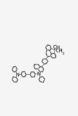 CC1(C)c2cccc3cc(-c4ccc(-c5ccc(N(c6ccccc6)c6ccc(-c7ccc(N(c8ccccc8)c8ccccc8)cc7)cc6)c6ccccc56)cc4)c4cccc1c4c23